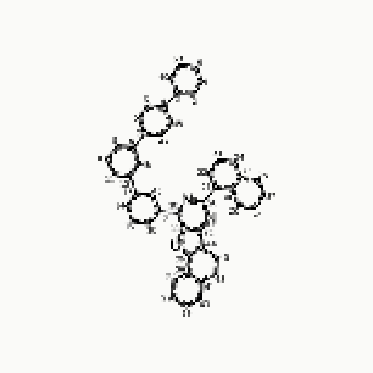 c1ccc(-c2ccc(-c3cccc(-c4cccc(-c5nc(-c6cccc7ccccc67)nc6c5oc5c7ccccc7ccc65)c4)c3)cc2)cc1